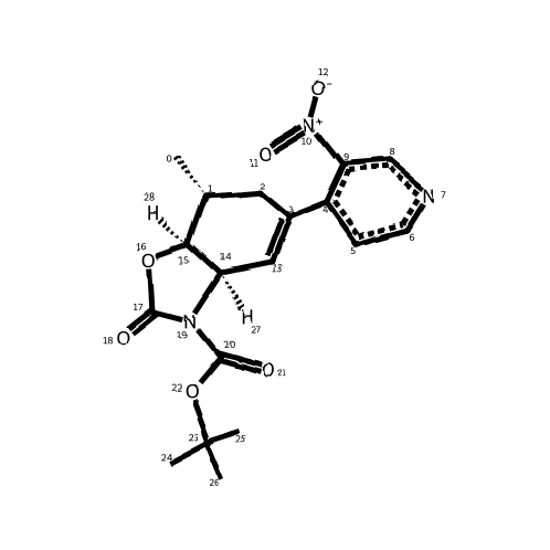 C[C@@H]1CC(c2ccncc2[N+](=O)[O-])=C[C@@H]2[C@H]1OC(=O)N2C(=O)OC(C)(C)C